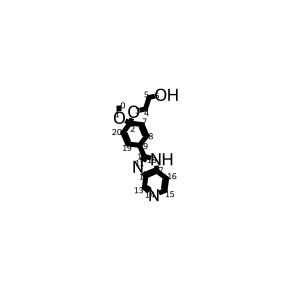 COC1(OCCO)C=CC(c2nc3cnccc3[nH]2)C=C1